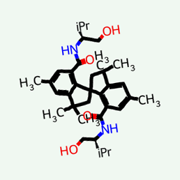 Cc1cc(C(=O)N[C@H](CO)C(C)C)c2c(c1)C(C)(C)CC21CC(C)(C)c2cc(C)cc(C(=O)N[C@H](CO)C(C)C)c21